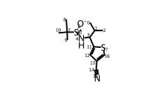 CC(C)C(N[S@@+]([O-])C(C)(C)C)c1cc(C#N)cs1